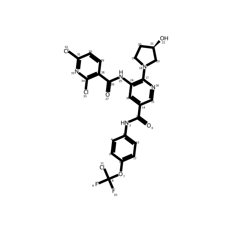 O=C(Nc1ccc(OC(F)(F)Cl)cc1)c1cnc(N2CC[C@@H](O)C2)c(NC(=O)c2ccc(Cl)nc2Cl)c1